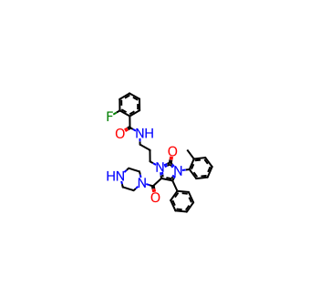 Cc1ccccc1-n1c(-c2ccccc2)c(C(=O)N2CCNCC2)n(CCCNC(=O)c2ccccc2F)c1=O